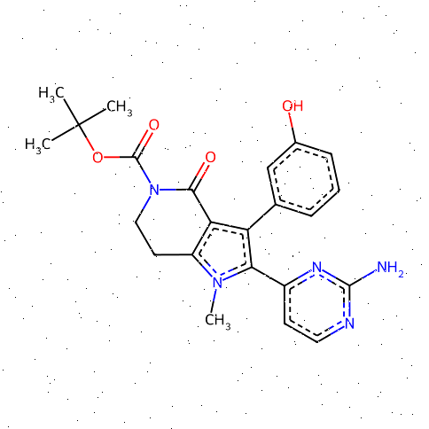 Cn1c2c(c(-c3cccc(O)c3)c1-c1ccnc(N)n1)C(=O)N(C(=O)OC(C)(C)C)CC2